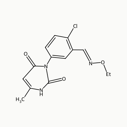 CCON=Cc1cc(-n2c(=O)cc(C)[nH]c2=O)ccc1Cl